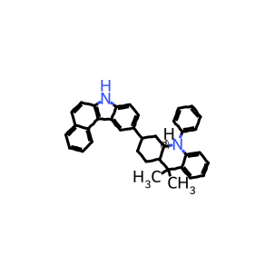 CC1(C)c2ccccc2N(c2ccccc2)[C@@H]2CC(c3ccc4[nH]c5ccc6ccccc6c5c4c3)CCC21